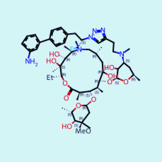 CC[C@H]1OC(=O)[C@H](C)[C@@H](O[C@H]2C[C@@](C)(OC)[C@@H](O)[C@H](C)O2)[C@H](C)[C@@H](O[C@@H]2O[C@H](C)C[C@H](N(C)CCc3cn([C@H](CF)Cc4ccc(-c5cccc(N)c5)cc4)nn3)C2O)[C@](C)(O)C[C@@H](C)CN(C)[C@H](C)[C@@H](O)[C@]1(C)O